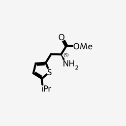 COC(=O)[C@@H](N)Cc1ccc(C(C)C)s1